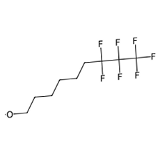 [O]CCCCCCC(F)(F)C(F)(F)C(F)(F)F